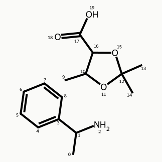 CC(N)c1ccccc1.CC1OC(C)(C)OC1C(=O)O